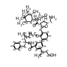 COc1c(CN2O[C@@H](CN)[C@@H]([C@H](C)O)[C@H]2C(=O)N[C@H]2C[C@@H](C)C(C)(C)[C@@H](C)[C@@H]2C)cccc1-c1cc(C(=O)N[C@@H](Cc2ccccc2)CN(C)C)cc(N(C)CCO)c1